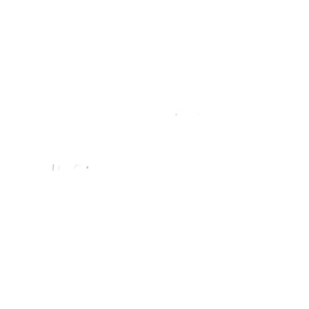 CCCCCCCCC(C=O)C1CCCC1